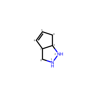 [CH]1NNC2CC=CC12